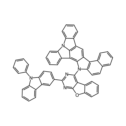 c1ccc(-n2c3ccccc3c3cc(-c4nc(-n5c6ccc7ccccc7c6c6cc7c8ccccc8n8c9ccccc9c(c65)c78)c5c(n4)oc4ccccc45)ccc32)cc1